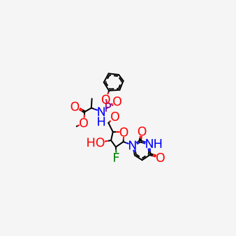 COC(=O)C(C)NP(=O)(OCC1OC(n2ccc(=O)[nH]c2=O)C(F)C1O)Oc1ccccc1